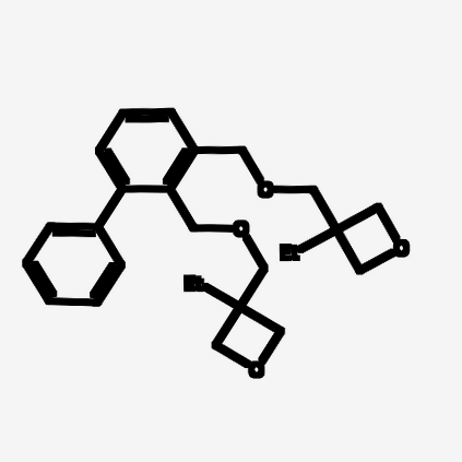 CCC1(COCc2cccc(-c3ccccc3)c2COCC2(CC)COC2)COC1